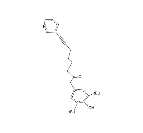 CC(C)(C)c1cc(CC(=O)CCCCC#Cc2cccnc2)cc(C(C)(C)C)c1O